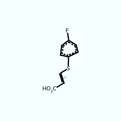 O=C(O)/C=C/Sc1ccc(F)cc1